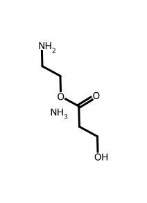 N.NCCOC(=O)CCO